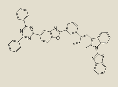 C=C/C(=C\c1c(C)n(-c2nc3ccccc3s2)c2ccccc12)c1cccc(-c2nc3cc(-c4nc(-c5ccccc5)nc(-c5ccccc5)n4)ccc3o2)c1